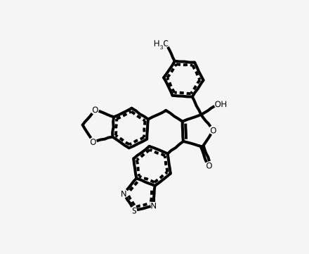 Cc1ccc(C2(O)OC(=O)C(c3ccc4nsnc4c3)=C2Cc2ccc3c(c2)OCO3)cc1